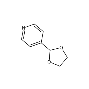 [c]1cc(C2OCCO2)ccn1